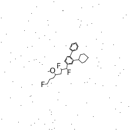 COC(CCCF)CC(F)C(F)c1ccc(-c2ccccc2)c(C2CCCCC2)c1